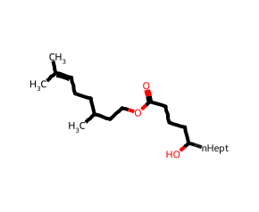 CCCCCCCC(O)CCCC(=O)OCCC(C)CCC=C(C)C